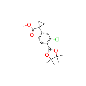 COC(=O)C1(c2ccc(B3OC(C)(C)C(C)(C)O3)c(Cl)c2)CC1